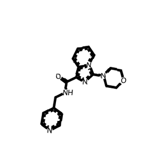 O=C(NCc1ccncc1)c1nc(N2CCOCC2)n2ccccc12